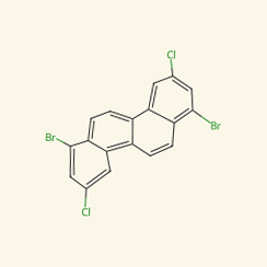 Clc1cc(Br)c2ccc3c4cc(Cl)cc(Br)c4ccc3c2c1